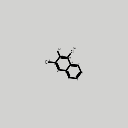 Clc1cc2ccccc2c(Cl)c1I